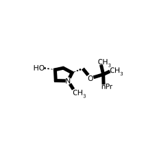 CCCC(C)(C)OC[C@H]1C[C@@H](O)CN1C